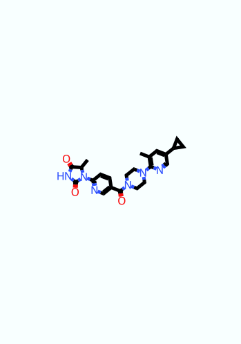 Cc1cc(C2CC2)cnc1N1CCN(C(=O)c2ccc(N3C(=O)NC(=O)C3C)nc2)CC1